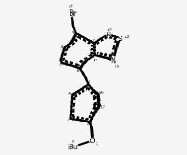 CCC(C)Oc1ccc(-c2ccc(Br)c3nsnc23)cc1